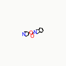 O=C(Oc1ccncc1)N1Cc2ccccc2C1